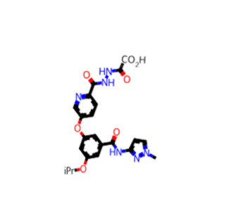 CC(C)Oc1cc(Oc2ccc(C(=O)NNC(=O)C(=O)O)nc2)cc(C(=O)Nc2ccn(C)n2)c1